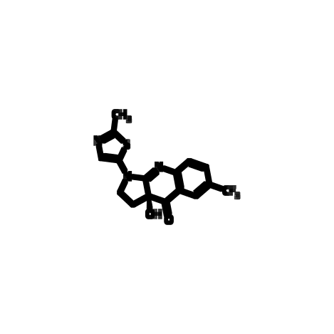 Cc1ncc(N2CC[C@@]3(O)C(=O)c4cc(C(F)(F)F)ccc4N=C23)s1